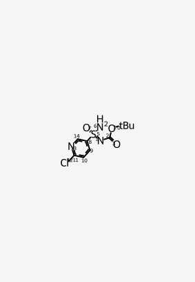 CC(C)(C)OC(=O)N=S(N)(=O)c1ccc(Cl)nc1